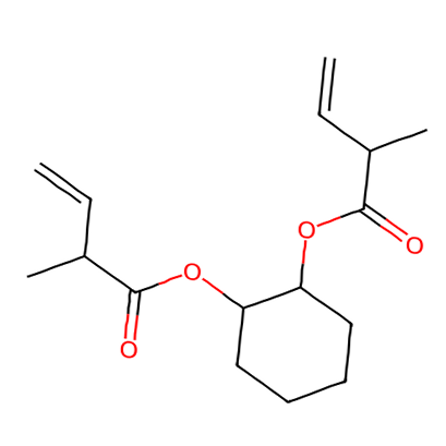 C=CC(C)C(=O)OC1CCCCC1OC(=O)C(C)C=C